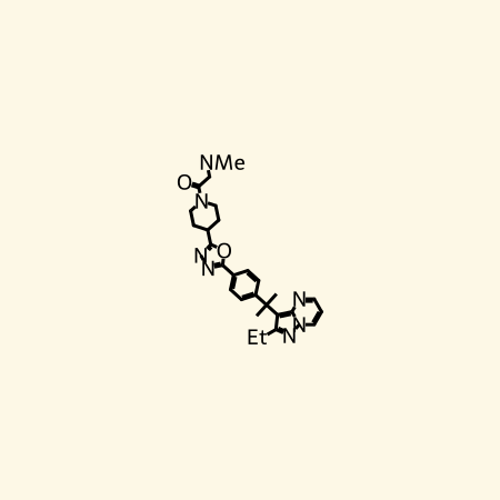 CCc1nn2cccnc2c1C(C)(C)c1ccc(-c2nnc(C3CCN(C(=O)CNC)CC3)o2)cc1